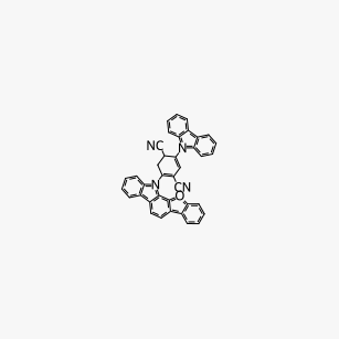 N#CC1=C(n2c3ccccc3c3ccc4c5ccccc5oc4c32)CC(C#N)C(n2c3ccccc3c3ccccc32)=C1